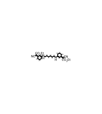 CCOC(=O)/C(C#N)=C1\C=C(NCCCCCCNC2=C/C(=C(/C#N)C(=O)OCC)CCC2)CCC1